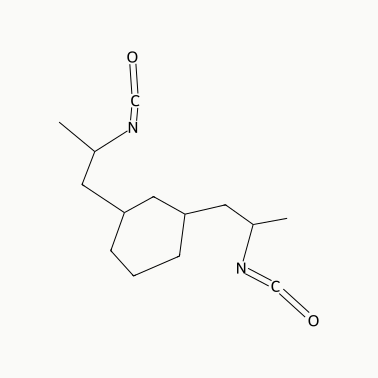 CC(CC1CCCC(CC(C)N=C=O)C1)N=C=O